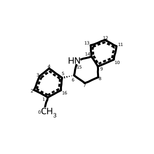 Cc1cccc([C@H]2CCc3ccccc3N2)c1